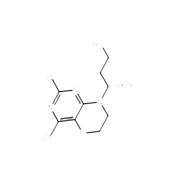 C[C@@H](CCO)N1CCOc2c(Cl)nc(Cl)nc21